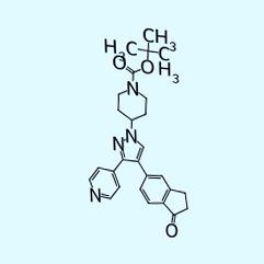 CC(C)(C)OC(=O)N1CCC(n2cc(-c3ccc4c(c3)CCC4=O)c(-c3ccncc3)n2)CC1